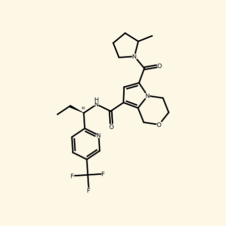 CC[C@@H](NC(=O)c1cc(C(=O)N2CCCC2C)n2c1COCC2)c1ccc(C(F)(F)F)cn1